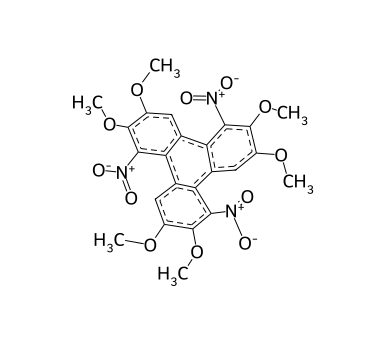 COc1cc2c(c([N+](=O)[O-])c1OC)c1cc(OC)c(OC)c([N+](=O)[O-])c1c1cc(OC)c(OC)c([N+](=O)[O-])c21